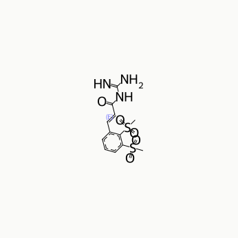 CS(=O)(=O)c1cccc(/C=C/C(=O)NC(=N)N)c1S(C)(=O)=O